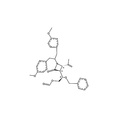 C=C(C)[C@@H]1[C@@H]([C@H](COC=O)OCc2ccccc2)C(=O)N1C(Cc1ccc(OC)cc1)Cc1ccc(OC)cc1